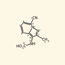 Cc1nn2c(C#N)cccc2c1NC(=O)O